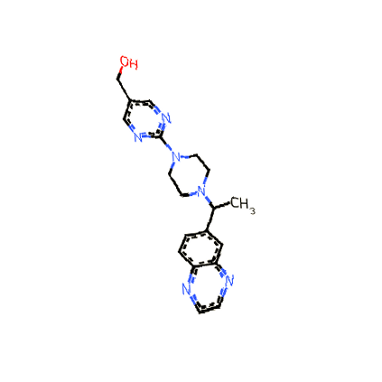 CC(c1ccc2nccnc2c1)N1CCN(c2ncc(CO)cn2)CC1